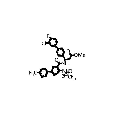 COC(=O)CC(NC(=O)c1cc(-c2ccc(C(F)(F)F)cc2)ccc1NS(=O)(=O)C(F)(F)F)c1ccc(-c2ccc(F)c(Cl)c2)cc1